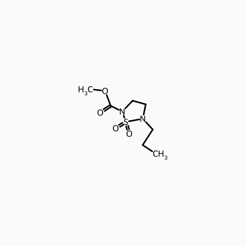 CCCN1CCN(C(=O)OC)S1(=O)=O